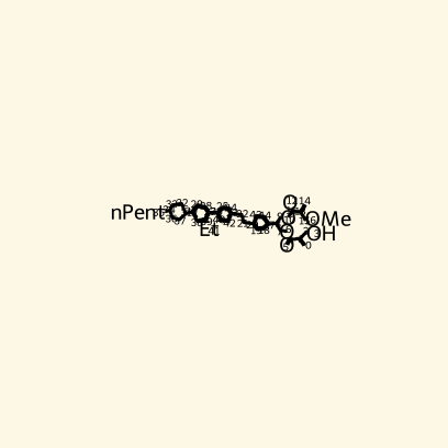 C=C(CO)C(=O)OCC(COC(=O)C(=C)COC)c1ccc(CCc2ccc(-c3ccc(C4CCC(CCCCC)CC4)cc3)c(CC)c2)cc1